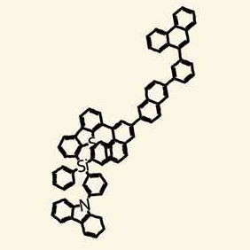 C1=Cc2c(n(-c3cccc([Si](c4ccccc4)(c4ccccc4)c4cccc5c4sc4c(-c6cc(-c7ccc8cc(-c9cccc(-c%10cc%11ccccc%11c%11ccccc%10%11)c9)ccc8c7)cc7ccccc67)cccc45)c3)c3ccccc23)CC1